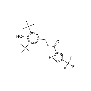 CC(C)(C)c1cc(CCC(=O)c2cc(C(F)(F)F)c[nH]2)cc(C(C)(C)C)c1O